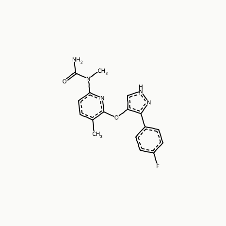 Cc1ccc(N(C)C(N)=O)nc1Oc1c[nH]nc1-c1ccc(F)cc1